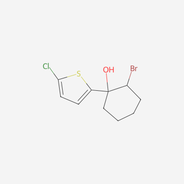 OC1(c2ccc(Cl)s2)CCCCC1Br